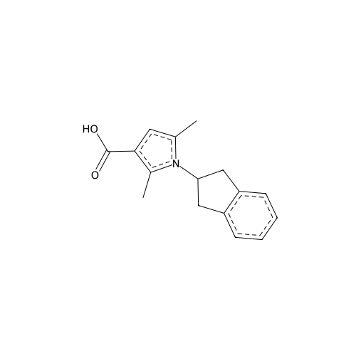 Cc1cc(C(=O)O)c(C)n1C1Cc2ccccc2C1